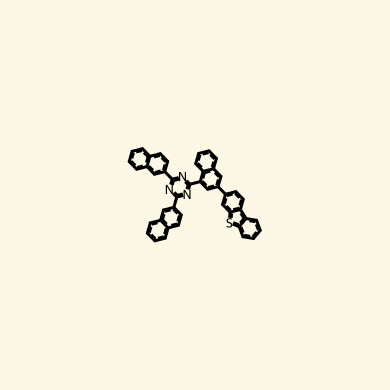 c1ccc2cc(-c3nc(-c4ccc5ccccc5c4)nc(-c4cc(-c5ccc6c(c5)sc5ccccc56)cc5ccccc45)n3)ccc2c1